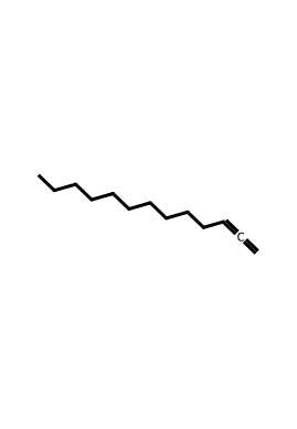 C=C=CCCCCCCCCCC